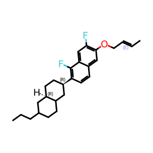 C/C=C/COc1cc2ccc([C@@H]3CC[C@@H]4CC(CCC)CCC4C3)c(F)c2cc1F